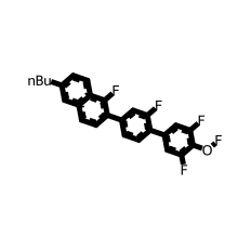 CCCCc1ccc2c(F)c(-c3ccc(-c4cc(F)c(OF)c(F)c4)c(F)c3)ccc2c1